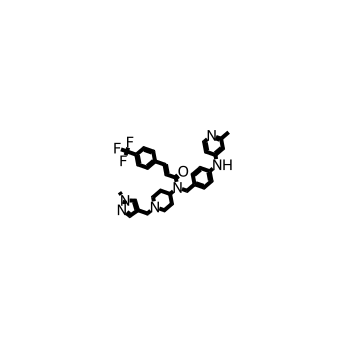 Cc1cc(Nc2ccc(CN(C(=O)C=Cc3ccc(C(F)(F)F)cc3)C3CCN(Cc4cnn(C)c4)CC3)cc2)ccn1